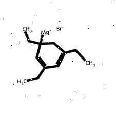 CCC1=C[C]([Mg+])(CC)CC(CC)=C1.[Br-]